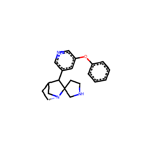 c1ccc(Oc2cncc(C3C4CC[N@](C4)C34CCNC4)c2)cc1